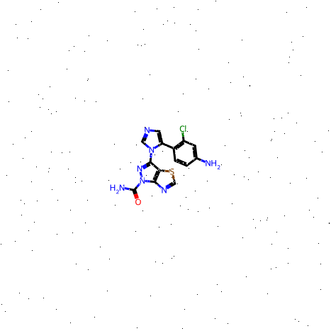 NC(=O)n1nc(-n2cncc2-c2ccc(N)cc2Cl)c2s[c]nc21